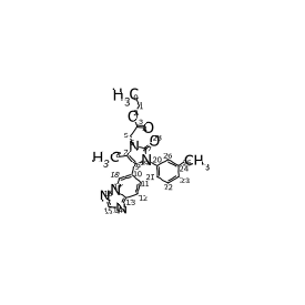 CCOC(=O)Cn1c(C)c(-c2ccc3ncnn3c2)n(-c2cccc(C)c2)c1=O